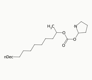 CCCCCCCCCCCCCCCCCC(C)OC(=O)OC1CCC[N]1